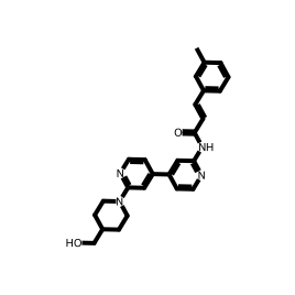 Cc1cccc(/C=C/C(=O)Nc2cc(-c3ccnc(N4CCC(CO)CC4)c3)ccn2)c1